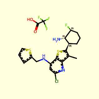 Cc1c([C@@H]2CCC[C@H](F)[C@H]2N)sc2c(NCc3cccs3)cc(Cl)nc12.O=C(O)C(F)(F)F